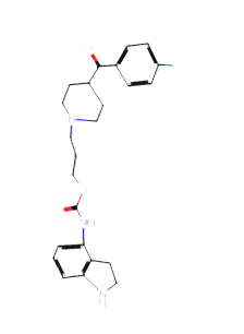 O=C(Nc1cccc2c1CCN2)OCCCN1CCC(C(=O)c2ccc(F)cc2)CC1